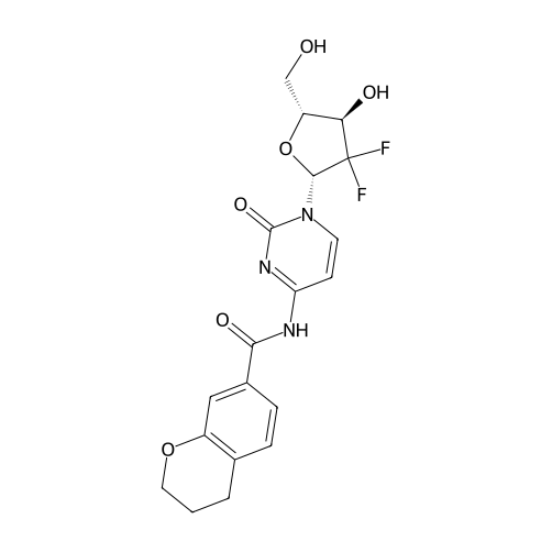 O=C(Nc1ccn([C@@H]2O[C@H](CO)[C@@H](O)C2(F)F)c(=O)n1)c1ccc2c(c1)OCCC2